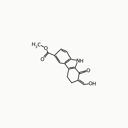 COC(=O)c1ccc2[nH]c3c(c2c1)CC/C(=C/O)C3=O